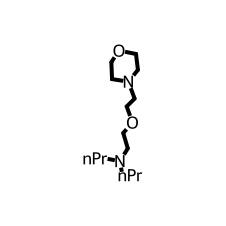 CCCN(CCC)CCOCCN1CCOCC1